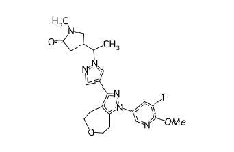 COc1ncc(-n2nc(-c3cnn(C(C)C4CC(=O)N(C)C4)c3)c3c2CCOCC3)cc1F